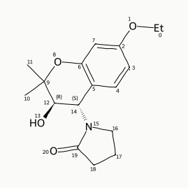 CCOc1[c]cc2c(c1)OC(C)(C)[C@H](O)[C@H]2N1CCCC1=O